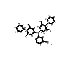 Cc1cc(N(c2cccc(N)c2)c2cc(C)c(-c3ccccc3)c(C)c2)cc(C)c1-c1ccccc1